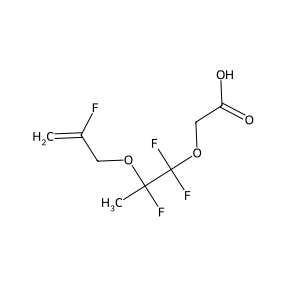 C=C(F)COC(C)(F)C(F)(F)OCC(=O)O